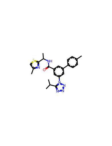 Cc1ccc(-c2cc(C(=O)NC(C)c3nc(C)cs3)cc(-n3nnnc3C(C)C)c2)cc1